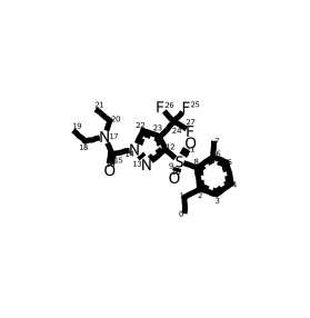 CCc1cccc(C)c1S(=O)(=O)c1nn(C(=O)N(CC)CC)cc1C(F)(F)F